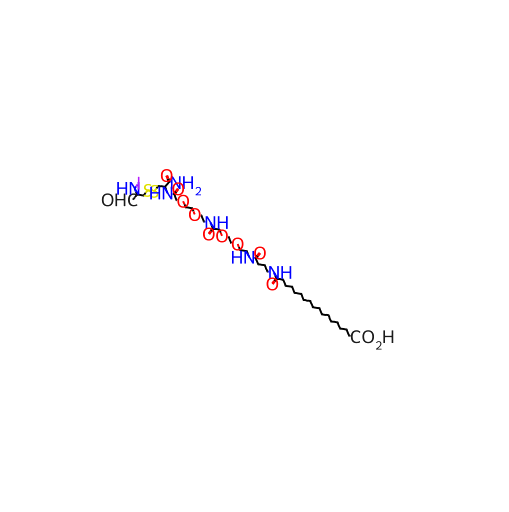 NC(=O)C(CSSCC(C=O)NI)NC(=O)COCCOCCNC(=O)COCCOCCNC(=O)CCCNC(=O)CCCCCCCCCCCCCCCCC(=O)O